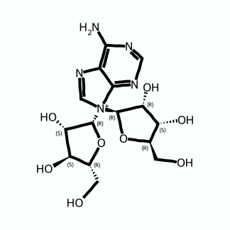 Nc1ncnc2c1N=C[N+]2([C@@H]1O[C@H](CO)[C@@H](O)[C@H]1O)[C@@H]1O[C@H](CO)[C@@H](O)[C@@H]1O